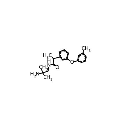 Cc1cccc(Oc2cccc(C(C)C(=O)NCC(C)(C)N)c2)c1